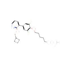 O=C(O)CCCCCOc1c(F)cc(-c2cccnc2OCC2CCC2)cc1F